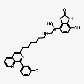 O=c1[nH]c2c(O)ccc([C@@H](O)CNCCCCCCc3cc4cccnc4c(-c4cccc(Cl)c4)n3)c2s1